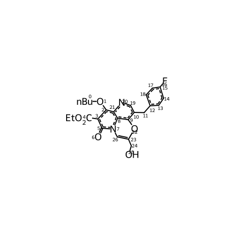 CCCCOc1c(C(=O)OCC)c(=O)n2c3c(c(Cc4ccc(F)cc4)cnc13)OC(CO)=C2